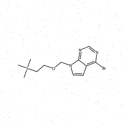 CS(C)(C)CCOCn1ccc2c(Br)ncnc21